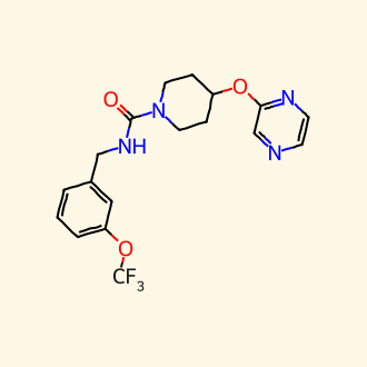 O=C(NCc1cccc(OC(F)(F)F)c1)N1CCC(Oc2cnccn2)CC1